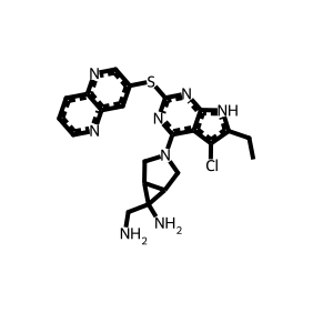 CCc1[nH]c2nc(Sc3cnc4cccnc4c3)nc(N3CC4C(C3)C4(N)CN)c2c1Cl